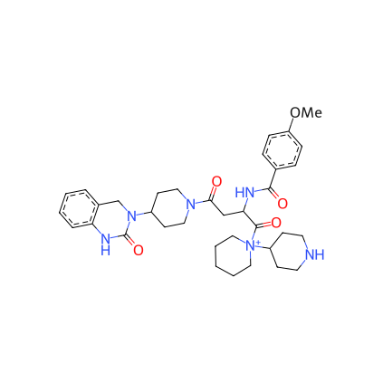 COc1ccc(C(=O)NC(CC(=O)N2CCC(N3Cc4ccccc4NC3=O)CC2)C(=O)[N+]2(C3CCNCC3)CCCCC2)cc1